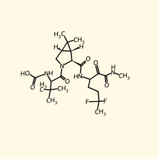 CNC(=O)C(=O)C(CCC(C)(F)F)NC(=O)[C@@H]1[C@@H]2[C@H](CN1C(=O)C(NC(=O)O)C(C)(C)C)C2(C)C